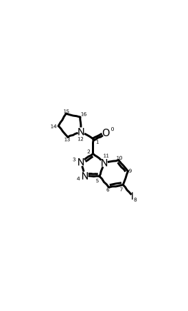 O=C(c1nnc2cc(I)ccn12)N1CCCC1